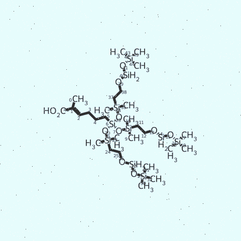 CC(=CCCC[Si](O[Si](C)(C)CCO[SiH2]O[Si](C)(C)C)(O[Si](C)(C)CCO[SiH2]O[Si](C)(C)C)O[Si](C)(C)CCO[SiH2]O[Si](C)(C)C)C(=O)O